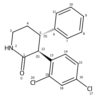 O=C1NCC[C@H](c2ccccc2)[C@H]1c1ccc(Cl)cc1Cl